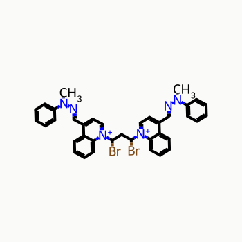 CN(N=Cc1cc[n+](C(Br)CC(Br)[n+]2ccc(C=NN(C)c3ccccc3)c3ccccc32)c2ccccc12)c1ccccc1